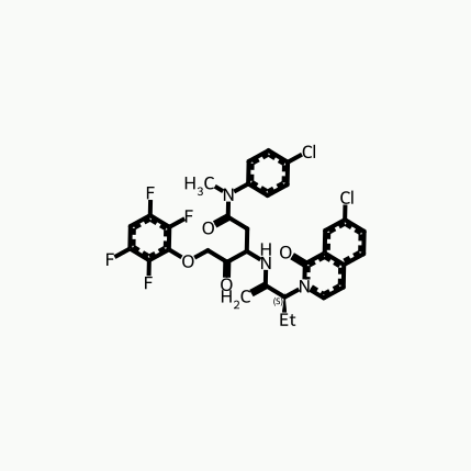 C=C(NC(CC(=O)N(C)c1ccc(Cl)cc1)C(=O)COc1c(F)c(F)cc(F)c1F)[C@H](CC)n1ccc2ccc(Cl)cc2c1=O